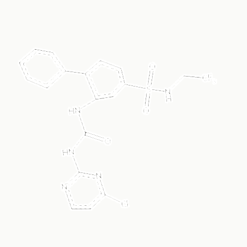 O=C(Nc1nccc(Cl)n1)Nc1cc(S(=O)(=O)NCC(F)(F)F)ccc1-c1ccccc1